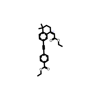 CCOC(=O)/C=C1/CCC(C)(C)c2ccc(C#Cc3ccc(C(=O)OCC)cc3)cc21